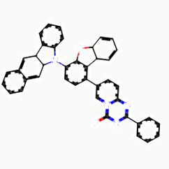 O=c1nc(-c2ccccc2)nc2ccc(-c3ccc(N4c5ccccc5C5C=c6ccccc6=CC54)c4c3C3C=CC=CC3O4)cn12